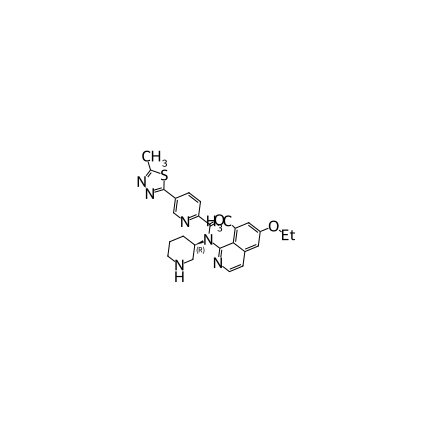 CCOc1cc(C)c2c(N(C(=O)c3ccc(-c4nnc(C)s4)cn3)[C@@H]3CCCNC3)nccc2c1